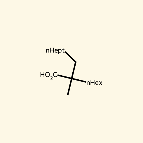 CCCCCCCCC(C)(CCCCCC)C(=O)O